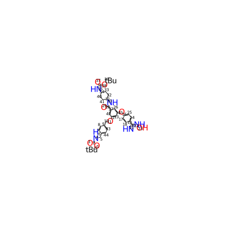 CC(C)(C)OC(=O)NCc1ccc(COc2cc(Oc3ccc(C(=N)NO)cc3)cc(C(=O)NC3CCC(NC(=O)OC(C)(C)C)CC3)c2)cc1